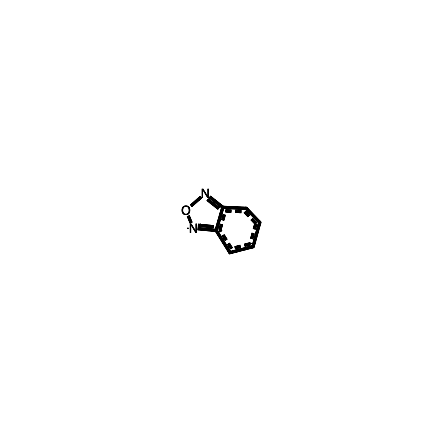 c1ccc2c(c1)=NO[N+]=2